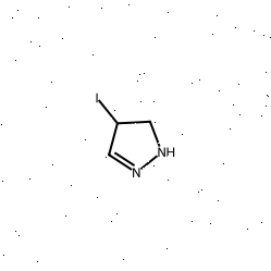 IC1C=NNC1